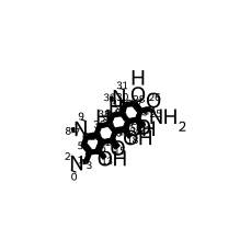 CN(C)Cc1cc(N(C)C)c2c(c1O)C(=O)C1=C(O)[C@]3(O)C(=O)C(C(N)=O)=C(O)[C@@H](N(C)C)[C@@H]3C[C@@H]1C2